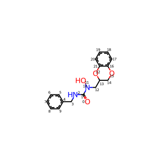 O=C(NCc1ccccc1)N(O)CC1COc2ccccc2O1